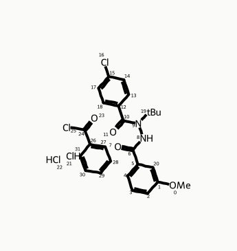 COc1cccc(C(=O)NN(C(=O)c2ccc(Cl)cc2)C(C)(C)C)c1.Cl.Cl.O=C(Cl)c1ccccc1